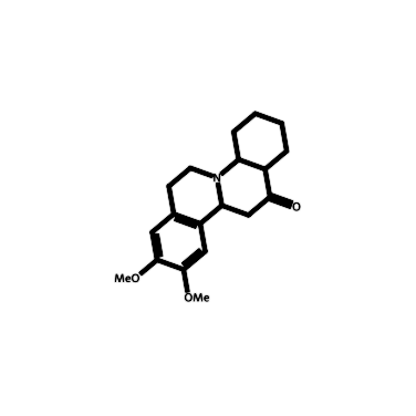 COc1cc2c(cc1OC)C1CC(=O)C3CCCCC3N1CC2